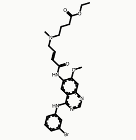 CCOC(=O)CCCN(C)CC=CC(=O)Nc1cc2c(Nc3cccc(Br)c3)ncnc2cc1OC